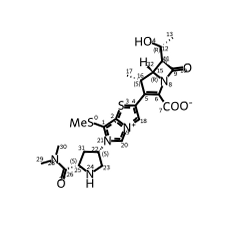 CSc1c2sc(C3=C(C(=O)[O-])N4C(=O)[C@H]([C@@H](C)O)[C@H]4[C@H]3C)c[n+]2cn1[C@@H]1CN[C@H](C(=O)N(C)C)C1